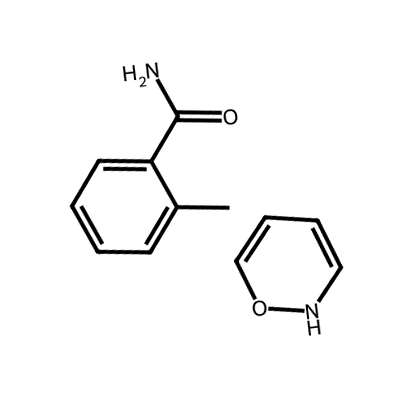 C1=CNOC=C1.Cc1ccccc1C(N)=O